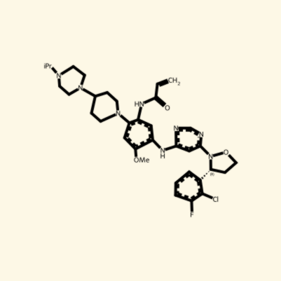 C=CC(=O)Nc1cc(Nc2cc(N3OCC[C@@H]3c3cccc(F)c3Cl)ncn2)c(OC)cc1N1CCC(N2CCN(C(C)C)CC2)CC1